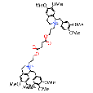 COc1ccc(CC2c3cc(OC)c(OC)cc3CC[N+]2(C)CCCOC(=O)/C=C/C(=O)OCCC[N+]2(C)CCc3cc(OC)c(OC)cc3C2Cc2cc(OC)c(OC)c(OC)c2)cc1OC